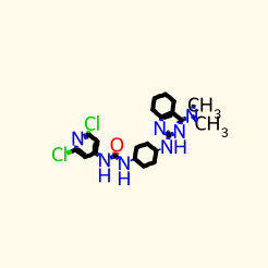 CN(C)c1nc(N[C@H]2CC[C@@H](NC(=O)Nc3cc(Cl)nc(Cl)c3)CC2)nc2c1CCCC2